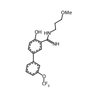 COCCCNC(=N)c1cc(-c2cccc(OC(F)(F)F)c2)ccc1O